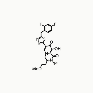 COCCN1Cn2cc(-c3nnc(Cc4ccc(F)cc4F)s3)c(=O)c(O)c2C(=O)N1C(C)C